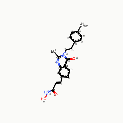 CCc1nc2cc(C=CC(=O)NO)ccc2c(=O)n1CCc1ccc(OC)cc1